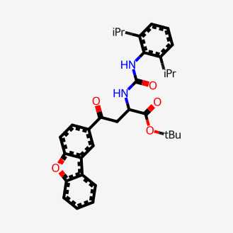 CC(C)c1cccc(C(C)C)c1NC(=O)NC(CC(=O)c1ccc2oc3ccccc3c2c1)C(=O)OC(C)(C)C